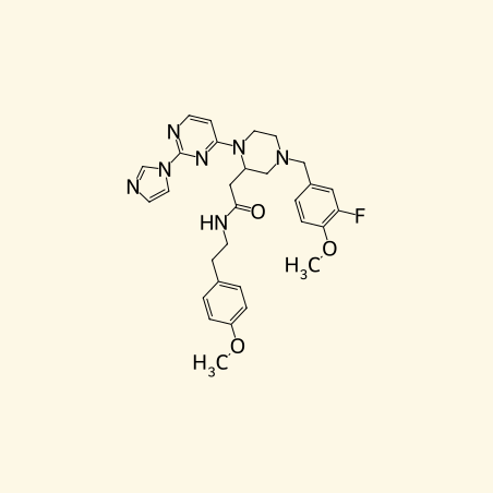 COc1ccc(CCNC(=O)CC2CN(Cc3ccc(OC)c(F)c3)CCN2c2ccnc(-n3ccnc3)n2)cc1